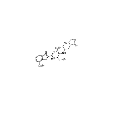 COc1cccc2[nH]c(C(=O)N[C@@H](CC(C)C)C(=O)N[C@@H](CC3CCNC3=O)C(N)C#N)cc12